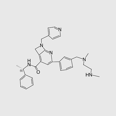 CNCCN(C)Cc1cccc(-c2cc(C(=O)N[C@@H](C)c3ccccc3)c3c(n2)N(Cc2ccncc2)C3)c1